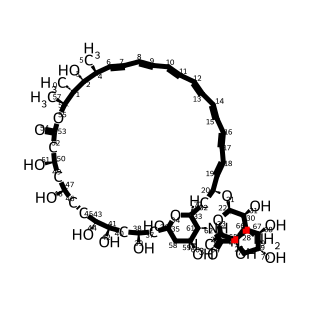 C[C@@H]1[C@H](O)[C@@H](C)/C=C/C=C/C=C/C=C/C=C/C=C/C=C/[C@H](O[C@@H]2O[C@H](C)[C@@H](O)[C@H](N)[C@@H]2O)C[C@@H]2O[C@](O)(C[C@@H](O)C[C@@H](O)[C@H](O)CC[C@@H](O)C[C@@H](O)CC(=O)O[C@H]1C)C[C@H](O)[C@H]2NC(=O)N1C[C@@H](O)[C@H](O)C1